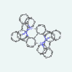 c1ccc(-n2c3ccccc3c3ccc(-n4c5ccccc5c5ccccc54)c(-c4c(-n5c6ccccc6c6ccccc65)ccc5c6ccccc6n(-c6ccccc6)c45)c32)cc1